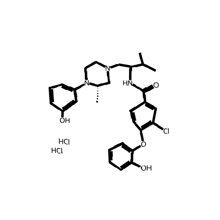 CC(C)C(CN1CCN(c2cccc(O)c2)[C@@H](C)C1)NC(=O)c1ccc(Oc2ccccc2O)c(Cl)c1.Cl.Cl